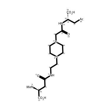 CN[C@@H](CC(=O)NCCN1CCN(CC(=O)N[C@@H](CC(C)=O)C(=O)O)CC1)C(=O)O